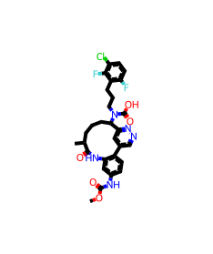 COC(=O)Nc1ccc2c(c1)NC(=O)C(C)CCCC(N(CCCc1c(F)ccc(Cl)c1F)C(=O)O)c1cc-2cnn1